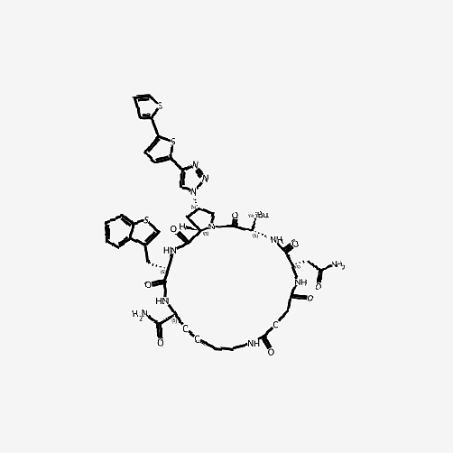 CC[C@H](C)[C@@H]1NC(=O)[C@H](CC(N)=O)NC(=O)CCC(=O)NCCCC[C@@H](C(N)=O)NC(=O)[C@H](Cc2csc3ccccc23)NC(=O)[C@@H]2C[C@H](n3cc(-c4ccc(-c5cccs5)s4)nn3)CN2C1=O